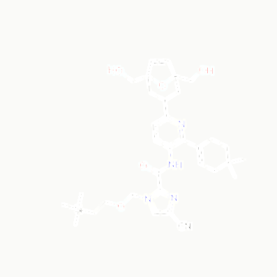 CC1(C)CC=C(c2nc(C3CC4(CO)C=CC(CO)(C3)O4)ccc2NC(=O)c2nc(C#N)cn2COCC[Si](C)(C)C)CC1